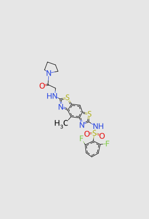 Cc1c2nc(NCC(=O)N3CCCC3)sc2cc2sc(NS(=O)(=O)c3c(F)cccc3F)nc12